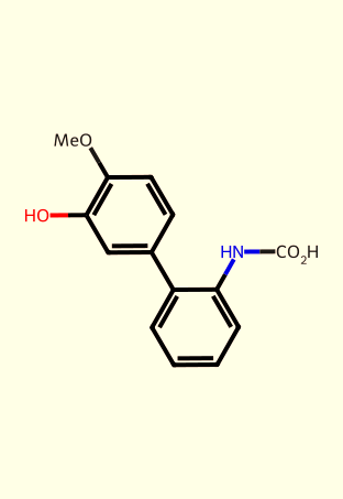 COc1ccc(-c2ccccc2NC(=O)O)cc1O